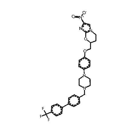 O=[N+]([O-])c1cn2c(n1)OC(COc1ccc(N3CCN(Cc4ccc(-c5ccc(C(F)(F)F)cc5)cc4)CC3)cc1)CC2